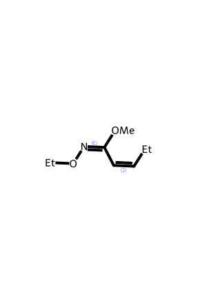 CC/C=C\C(=N/OCC)OC